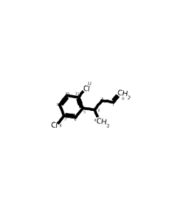 C=CC[C](C)c1cc(Cl)ccc1Cl